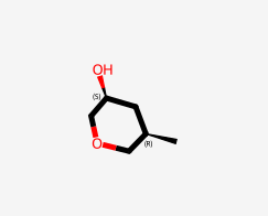 C[C@H]1COC[C@@H](O)C1